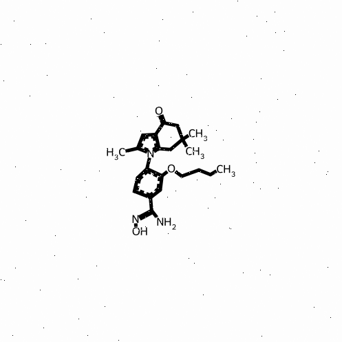 CCCCOc1cc(/C(N)=N/O)ccc1-n1c(C)cc2c1CC(C)(C)CC2=O